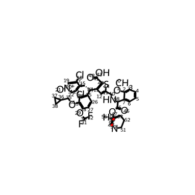 COc1ccccc1C(NCc1cc([C@@H](Cc2c(Cl)c[n+]([O-])cc2Cl)c2ccc(OC(F)F)c(OCC3CC3)c2)c(C(=O)O)s1)C(=O)O[C@H]1CN2CCC1CC2